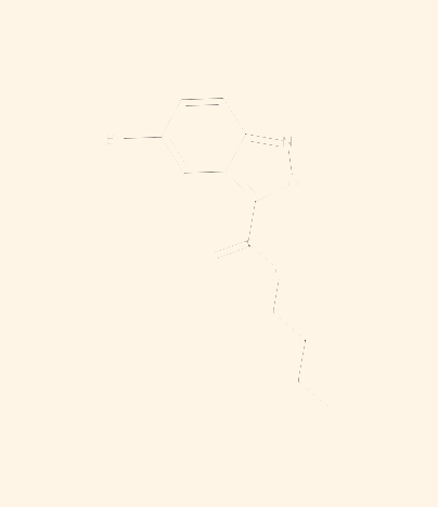 CCCCOC(=O)c1onc2ccc(Br)cc12